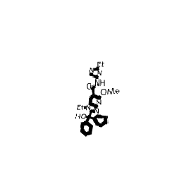 CCC1N=CC(NC(=O)c2cc3c(nc2OC)nc(C(O)(c2ccccc2)c2ccccc2)n3CC)=N1